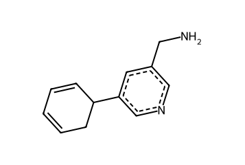 NCc1cncc(C2C=CC=CC2)c1